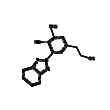 O=Cc1cc(CCO)cc(-n2nc3ccccc3n2)c1O